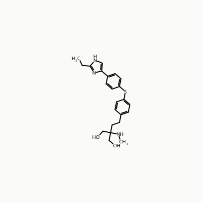 CCc1nc(-c2ccc(Sc3ccc(CCC(CO)(CO)NC)cc3)cc2)c[nH]1